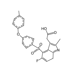 CC1=C(CC(=O)O)C2=C(S(=O)(=O)c3ccc(Oc4ccc(C)cc4)cc3)C(F)=CCC2=N1